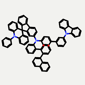 c1ccc(N2c3ccccc3C3(c4ccccc4-c4ccc(N(c5ccc(-c6cccc(-n7c8ccccc8c8ccccc87)c6)cc5)c5ccccc5-c5ccccc5-c5cccc6ccccc56)cc43)c3ccccc32)cc1